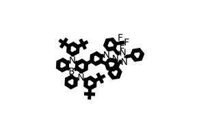 CC(C)(C)c1cc(N2c3ccccc3B3c4ccccc4N(c4cc(C(C)(C)C)cc(C(C)(C)C)c4)c4cc(-c5ccc6c(c5)c5ccccc5n6-c5cccc(C(F)(F)F)c5-c5nc(-c6ccccc6)nc(-c6ccccc6)n5)cc2c43)cc(C(C)(C)C)c1